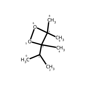 CC(C)C1(C)OOC1(C)C